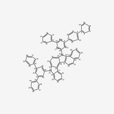 c1ccc(-c2ccc(-c3nc(-c4ccccc4)nc(-n4c5ccc6c(c7ccccc7n6-c6cc(-c7ccccc7)cc(-c7ccccc7)c6)c5c5ccc6ccccc6c54)n3)cc2)cc1